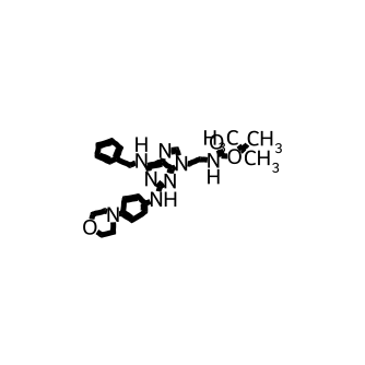 CC(C)(C)OC(=O)NCCn1cnc2c(NCc3ccccc3)nc(Nc3ccc(N4CCOCC4)cc3)nc21